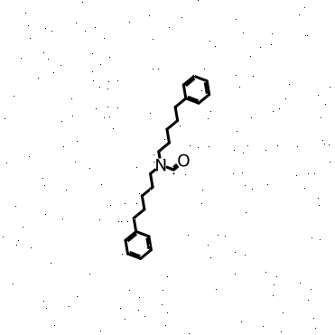 O=[C]N(CCCCCc1ccccc1)CCCCCc1ccccc1